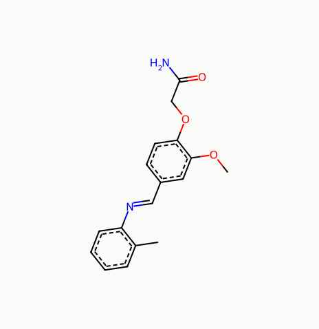 COc1cc(/C=N/c2ccccc2C)ccc1OCC(N)=O